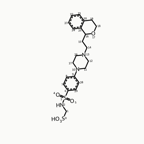 O=S(=O)(O)CNS(=O)(=O)c1ccc(N2CCN(CCC3OCCc4ccccc43)CC2)cc1